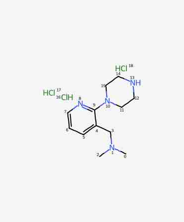 CN(C)Cc1cccnc1N1CCNCC1.Cl.Cl.Cl